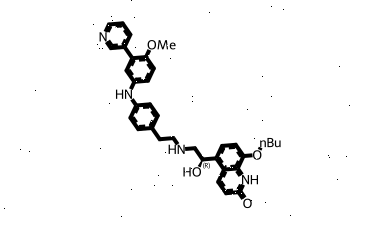 CCCCOc1ccc([C@@H](O)CNCCc2ccc(Nc3ccc(OC)c(-c4cccnc4)c3)cc2)c2ccc(=O)[nH]c12